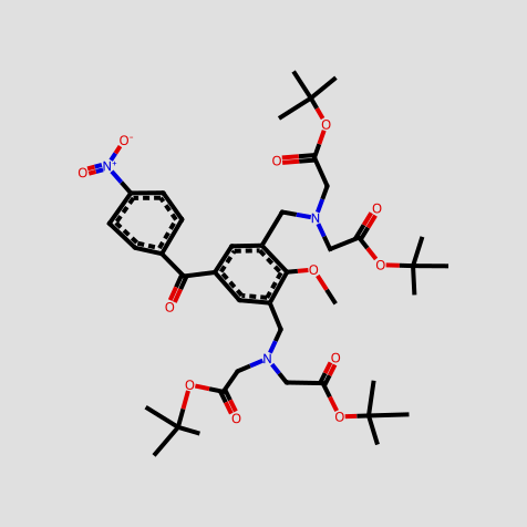 COc1c(CN(CC(=O)OC(C)(C)C)CC(=O)OC(C)(C)C)cc(C(=O)c2ccc([N+](=O)[O-])cc2)cc1CN(CC(=O)OC(C)(C)C)CC(=O)OC(C)(C)C